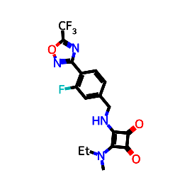 CCN(C)c1c(NCc2ccc(-c3noc(C(F)(F)F)n3)c(F)c2)c(=O)c1=O